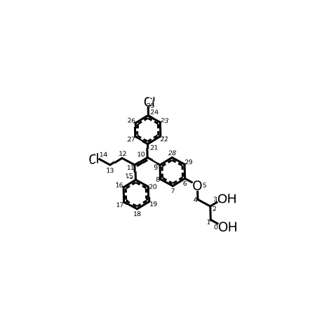 OCC(O)COc1ccc(/C(=C(/CCCl)c2ccccc2)c2ccc(Cl)cc2)cc1